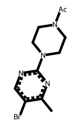 CC(=O)N1CCN(c2ncc(Br)c(C)n2)CC1